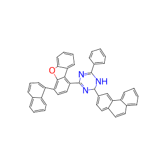 c1ccc(C2=NC(c3ccc(-c4cccc5ccccc45)c4oc5ccccc5c34)=NC(c3ccc4ccc5ccccc5c4c3)N2)cc1